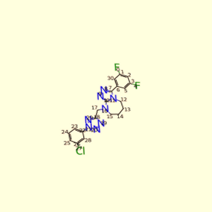 Fc1cc(F)cc(-c2nnc3n2CCCCN3Cc2nnn(-c3cccc(Cl)c3)n2)c1